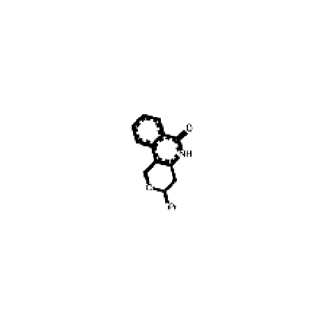 CC(C)C1Cc2[nH]c(=O)c3ccccc3c2CO1